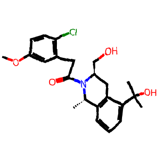 COc1ccc(Cl)c(CC(=O)N2[C@@H](CO)Cc3c(cccc3C(C)(C)O)[C@@H]2C)c1